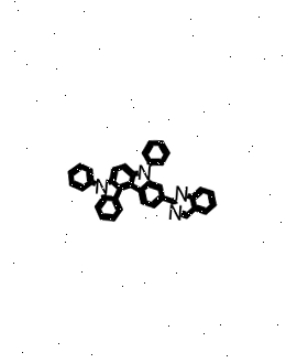 c1ccc(-n2c3ccccc3c3c4c5ccc(-c6ncc7ccccc7n6)cc5n(-c5ccccc5)c4ccc32)cc1